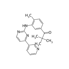 Cc1ccc(C(=O)C(C)(C)C)cc1Nc1nccc(-c2cccnc2)n1